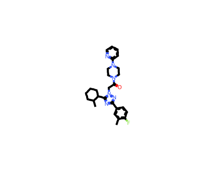 Cc1cc(-c2nc(C3CCCCC3C)n(CC(=O)N3CCN(c4ccccn4)CC3)n2)ccc1F